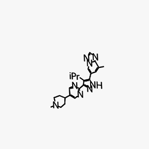 Cc1cc(-c2[nH]nc(-c3ncc(C4CCN(C)CC4)cn3)c2C(C)C)cn2ncnc12